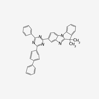 CC1(C)c2ccccc2-n2c1nc1cc(-c3nc(-c4ccccc4)nc(-c4ccc(-c5ccccc5)cc4)n3)ccc12